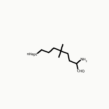 CCCCCCCCCCC(C)(C)CCC(N)C=O